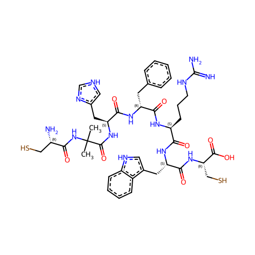 CC(C)(NC(=O)[C@@H](N)CS)C(=O)N[C@@H](Cc1c[nH]cn1)C(=O)N[C@H](Cc1ccccc1)C(=O)N[C@@H](CCCNC(=N)N)C(=O)N[C@@H](Cc1c[nH]c2ccccc12)C(=O)N[C@@H](CS)C(=O)O